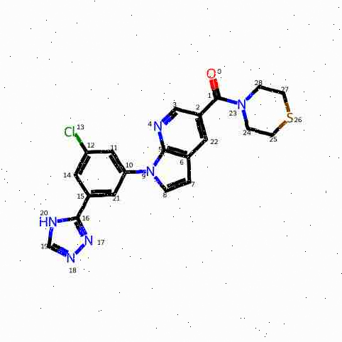 O=C(c1cnc2c(ccn2-c2cc(Cl)cc(-c3nnc[nH]3)c2)c1)N1CCSCC1